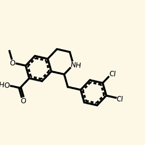 COc1cc2c(cc1C(=O)O)C(Cc1ccc(Cl)c(Cl)c1)NCC2